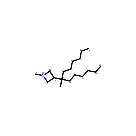 CCCCCCC(C)(CCCCCC)C1CN(C)C1